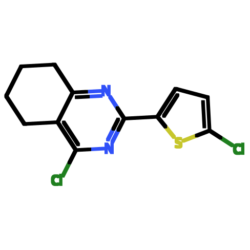 Clc1ccc(-c2nc(Cl)c3c(n2)CCCC3)s1